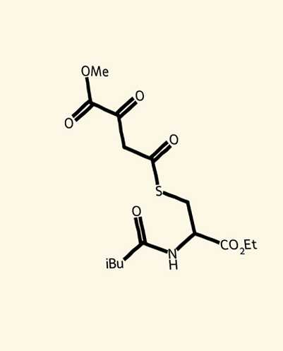 CCOC(=O)C(CSC(=O)CC(=O)C(=O)OC)NC(=O)C(C)CC